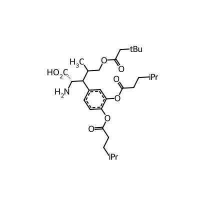 CC(C)CCC(=O)Oc1ccc(C(C(C)COC(=O)CC(C)(C)C)[C@H](N)C(=O)O)cc1OC(=O)CCC(C)C